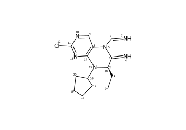 CC[C@@H]1C(=N)N(C=N)c2cnc(Cl)nc2N1C1CCCC1